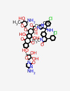 CC(=O)[C@]1(O)Cc2c(O)c3c(c(O)c2[C@@H](O[C@H]2C[C@H](N)[C@H](O)[C@H](C)O2)C1)C(=O)c1ccccc1C3=O.Cn1cncc1C(N)(c1ccc(Cl)cc1)c1ccc2c(c1)c(-c1cccc(Cl)c1)cc(=O)n2C.Nc1ccn([C@@H]2O[C@H](CO)[C@@H](O)[C@@H]2O)c(=O)n1